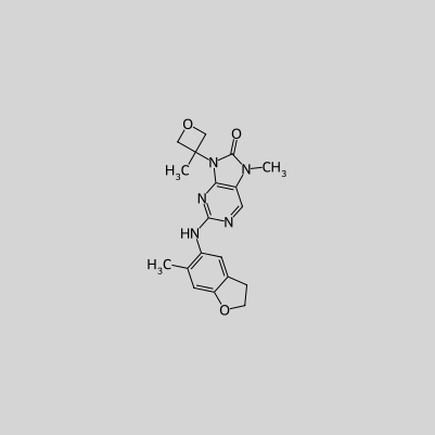 Cc1cc2c(cc1Nc1ncc3c(n1)n(C1(C)COC1)c(=O)n3C)CCO2